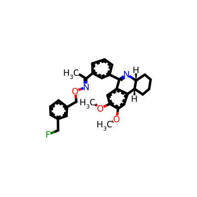 COc1cc2c(cc1OC)[C@H]1CCCC[C@H]1N=C2c1cccc(C(C)=NOCc2cccc(CF)c2)c1